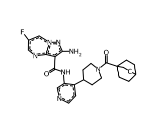 Nc1nn2cc(F)cnc2c1C(=O)Nc1cnccc1C1CCN(C(=O)C23CCC(CC2)CC3)CC1